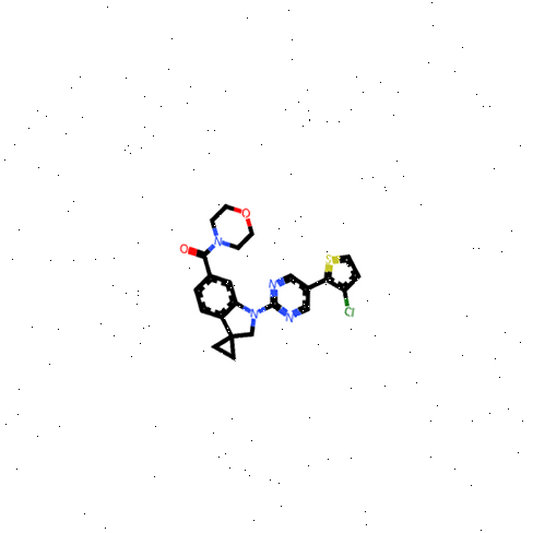 O=C(c1ccc2c(c1)N(c1ncc(-c3sccc3Cl)cn1)CC21CC1)N1CCOCC1